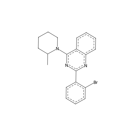 CC1CCCCN1c1nc(-c2ccccc2Br)nc2ccccc12